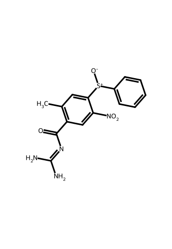 Cc1cc([S+]([O-])c2ccccc2)c([N+](=O)[O-])cc1C(=O)N=C(N)N